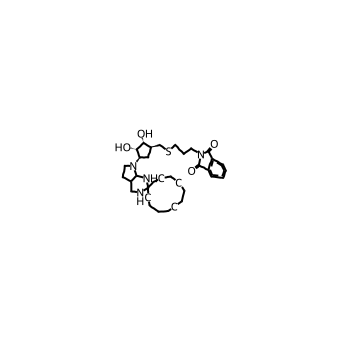 O=C1c2ccccc2C(=O)N1CCCSC[C@H]1C[C@@H](N2CCC3CNC4(CCCCCCCCCCC4)NC32)[C@H](O)[C@@H]1O